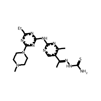 CCc1nc(Nc2ncc(/C(C)=N/NC(N)=S)c(C)n2)nc(N2CCN(C)CC2)n1